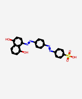 O=S(=O)(O)c1ccc(N=Nc2ccc(N=Nc3ccc(O)c4cccc(O)c34)cc2)cc1